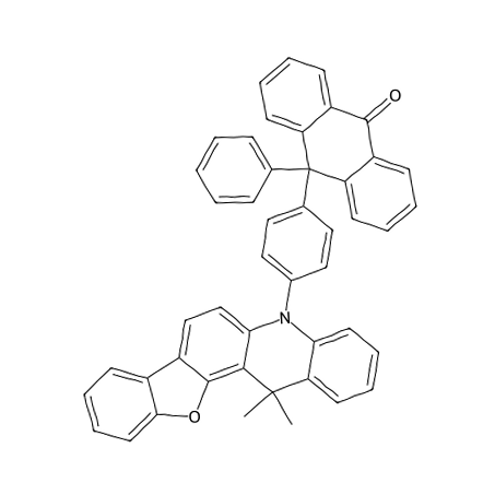 CC1(C)c2ccccc2N(c2ccc(C3(c4ccccc4)c4ccccc4C(=O)c4ccccc43)cc2)c2ccc3c(oc4ccccc43)c21